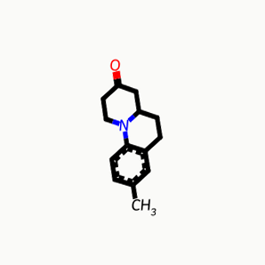 Cc1ccc2c(c1)CCC1CC(=O)CCN21